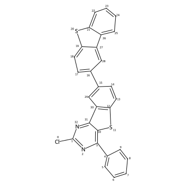 Clc1nc(-c2ccccc2)c2sc3ccc(-c4ccc5sc6ccccc6c5c4)cc3c2n1